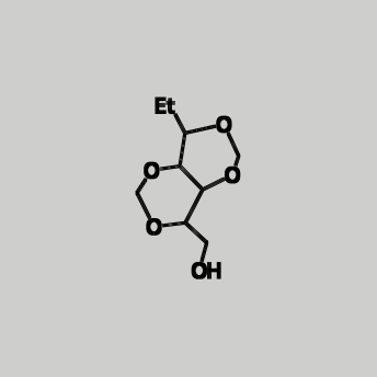 CCC1OCOC2C(CO)OCOC12